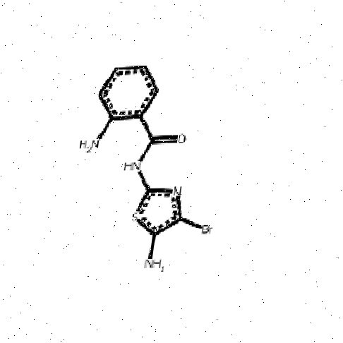 Nc1ccccc1C(=O)Nc1nc(Br)c(N)s1